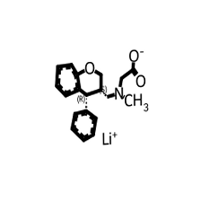 CN(CC(=O)[O-])C[C@H]1COc2ccccc2[C@H]1c1ccccc1.[Li+]